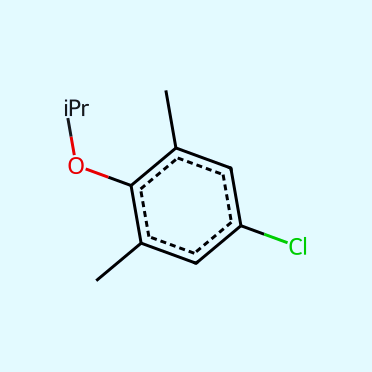 Cc1cc(Cl)cc(C)c1OC(C)C